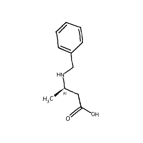 C[C@H](CC(=O)O)NCc1ccccc1